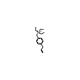 C=CCc1ccc(C[N+](CC)(CC)CC)cc1